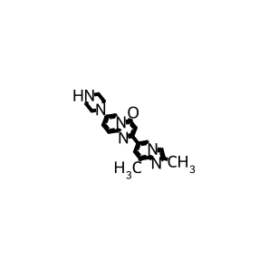 Cc1cn2cc(-c3cc(=O)n4cc(N5CCNCC5)ccc4n3)cc(C)c2n1